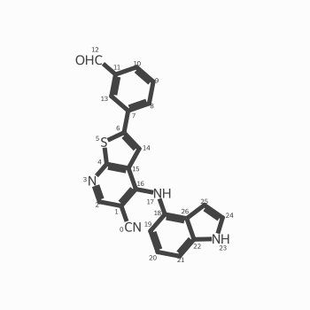 N#Cc1cnc2sc(-c3cccc(C=O)c3)cc2c1Nc1cccc2[nH]ccc12